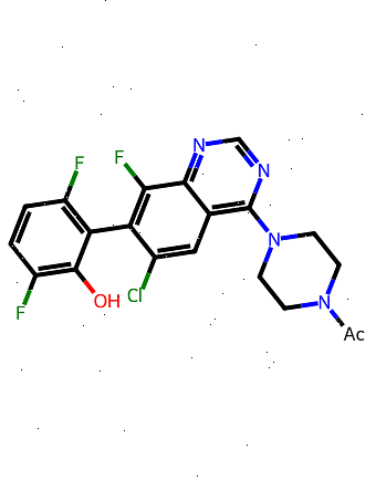 CC(=O)N1CCN(c2ncnc3c(F)c(-c4c(F)ccc(F)c4O)c(Cl)cc23)CC1